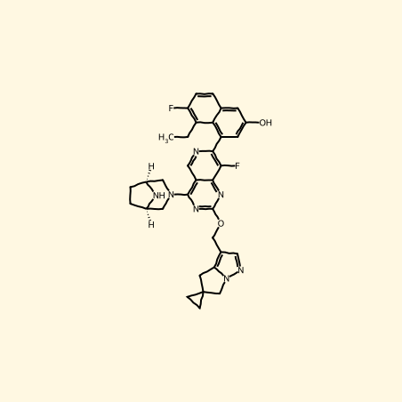 CCc1c(F)ccc2cc(O)cc(-c3ncc4c(N5C[C@H]6CC[C@@H](C5)N6)nc(OCc5cnn6c5CC5(CC5)C6)nc4c3F)c12